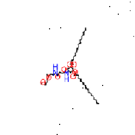 CCCCCCCCCCCCCCCCCC(=O)OC1CC(NC(=O)CCC(=O)NCCC(C)OCCC(C)OC)CC(OC(=O)CCCCCCCCCCCCCCCCC)C1